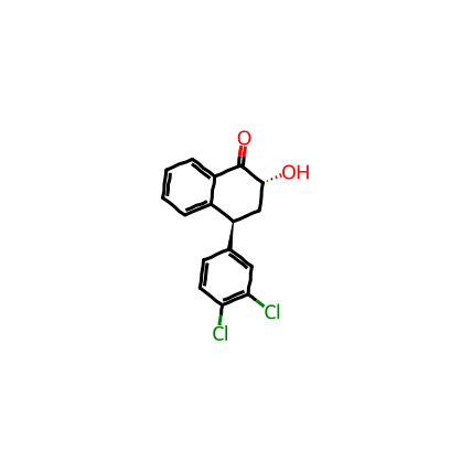 O=C1c2ccccc2[C@H](c2ccc(Cl)c(Cl)c2)C[C@H]1O